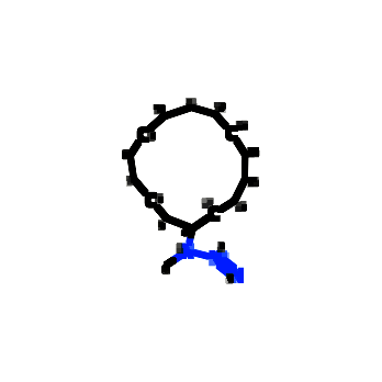 CN([N+]#N)C1CCCCCCCCCCCCC1